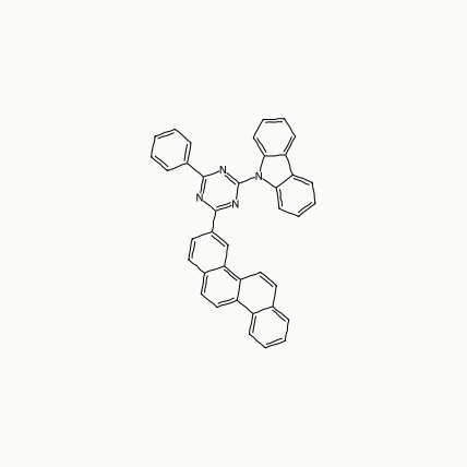 c1ccc(-c2nc(-c3ccc4ccc5c6ccccc6ccc5c4c3)nc(-n3c4ccccc4c4ccccc43)n2)cc1